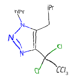 CCCn1nnc(C(Cl)(Cl)C(Cl)(Cl)Cl)c1CC(C)C